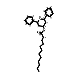 CCCCCCCCCCCC(=O)OC1CC(c2ccccc2)SC(c2ccccc2)C1